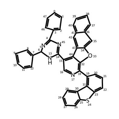 c1ccc(C2=NC(c3ccccc3)NC(c3cnc(-c4cccc5sc6ccccc6c45)c4oc5cc6ccccc6cc5c34)=N2)cc1